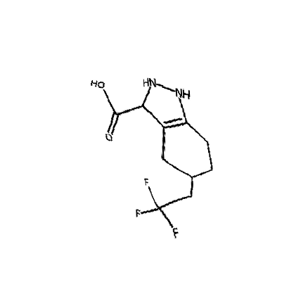 O=C(O)C1NNC2=C1CC(CC(F)(F)F)CC2